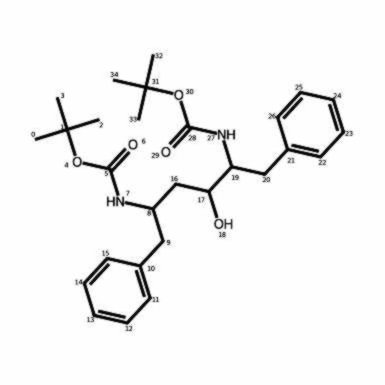 CC(C)(C)OC(=O)NC(Cc1ccccc1)CC(O)C(Cc1ccccc1)NC(=O)OC(C)(C)C